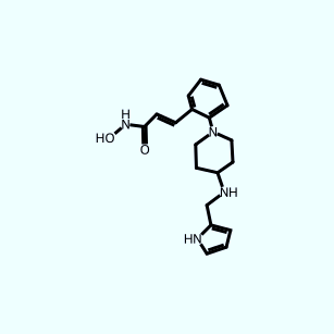 O=C(C=Cc1ccccc1N1CCC(NCc2ccc[nH]2)CC1)NO